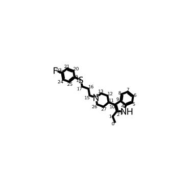 CCc1[nH]c2ccccc2c1C1CCN(CCCSc2ccc(F)cc2)CC1